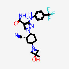 CC1(O)CN([C@@H]2CC[C@H](n3cc(C(N)=O)c(Nc4ccc(C(F)(F)F)cc4)n3)[C@@H](C#N)C2)C1